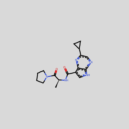 C[C@H](NC(=O)c1c[nH]c2ncc(C3CC3)nc12)C(=O)N1CCCC1